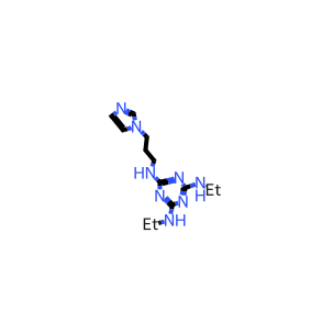 CCNc1nc(NCC)nc(NCCCn2ccnc2)n1